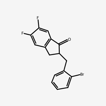 O=C1c2cc(F)c(F)cc2CC1Cc1ccccc1Br